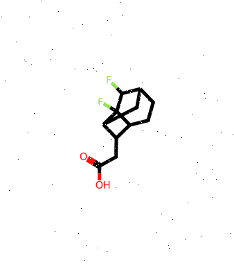 O=C(O)CC1C2CCC3CC1C2(F)C3F